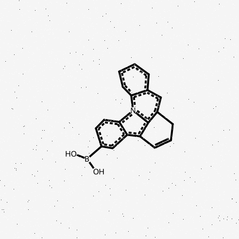 OB(O)c1ccc2c(c1)c1c3c(cc4ccccc4n32)CC=C1